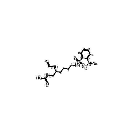 O=CNC(CCCCNS(=O)(=O)c1ccccc1[N+](=O)[O-])CNC(=O)O